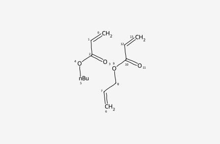 C=CC(=O)OCCCC.C=CCOC(=O)C=C